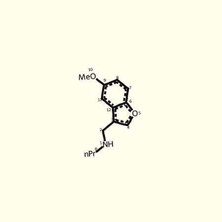 CCCNCc1coc2ccc(OC)cc12